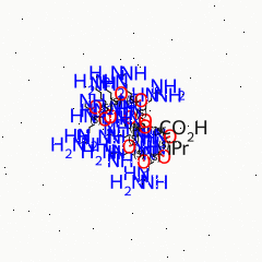 CC(C)C[C@H](NC(=O)[C@@H](NC(=O)[C@H](CCCNC(=N)N)NC(=O)[C@H](CCCNC(=N)N)NC(=O)[C@H](CCCNC(=N)N)NC(=O)[C@H](CCC(N)=O)NC(=O)[C@H](CCCNC(=N)N)NC(=O)[C@H](CCCNC(=N)N)NC(=O)[C@H](CCCCN)NC(=O)[C@H](CCCCN)NC(=O)[C@H](CCCNC(=N)N)NC(=O)CN)C(C)C)C(=O)O